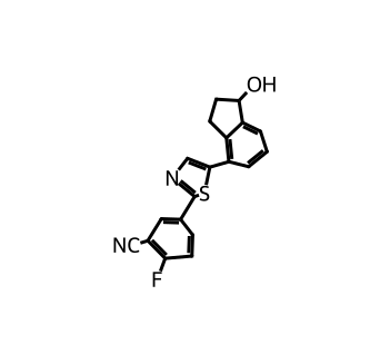 N#Cc1cc(-c2ncc(-c3cccc4c3CCC4O)s2)ccc1F